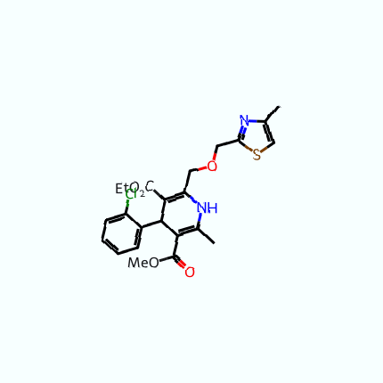 CCOC(=O)C1=C(COCc2nc(C)cs2)NC(C)=C(C(=O)OC)C1c1ccccc1Cl